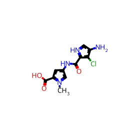 Cn1cc(NC(=O)c2[nH]cc(N)c2Cl)cc1C(=O)O